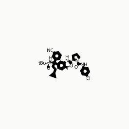 CC(C)(C)[S@@+]([O-])NC(CCC1CC1)(c1cccc(C#N)c1)c1ccc(F)c(NC(=O)[C@@H]2CCCN2C(=O)Nc2ccc(Cl)cc2)c1